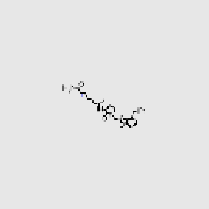 CC(C)Cc1cccc2oc(Cn3cccc(NC(=O)CCC/C=C/C(N)=O)c3=O)nc12